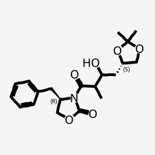 CC(C(=O)N1C(=O)OC[C@H]1Cc1ccccc1)C(O)C[C@H]1COC(C)(C)O1